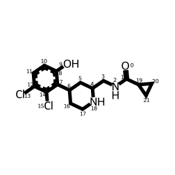 O=C(NCC1CC(c2c(O)ccc(Cl)c2Cl)CCN1)C1CC1